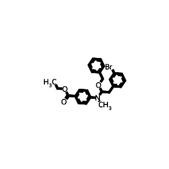 CCOC(=O)c1ccc(N(C)C(Cc2cccc(Br)c2)OCc2ccccc2)cc1